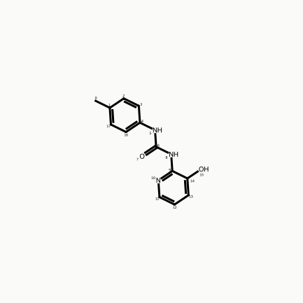 Cc1ccc(NC(=O)Nc2ncccc2O)cc1